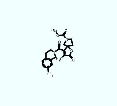 CC1=C(C(=O)N2CCc3ccc(C(F)(F)F)cc3C2)C2(CCN(C(=O)OC(C)(C)C)C2)OC1=O